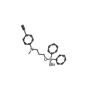 C#Cc1ccc(N(C)CCCO[Si](c2ccccc2)(c2ccccc2)C(C)(C)C)cc1